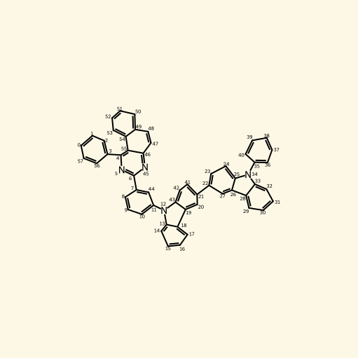 c1ccc(-c2nc(-c3cccc(-n4c5ccccc5c5cc(-c6ccc7c(c6)c6ccccc6n7-c6ccccc6)ccc54)c3)nc3ccc4ccccc4c23)cc1